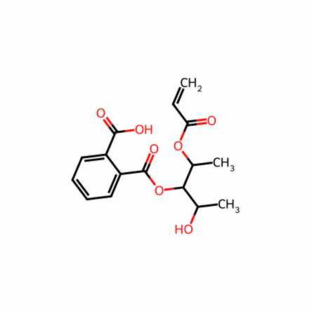 C=CC(=O)OC(C)C(OC(=O)c1ccccc1C(=O)O)C(C)O